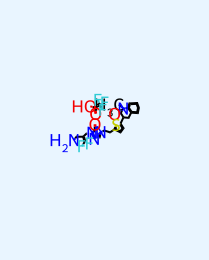 CN1C(=O)C(c2ccc(CCn3cnn(CC(CN)=C(F)F)c3=O)s2)Cc2ccccc21.O=C(O)C(F)(F)F